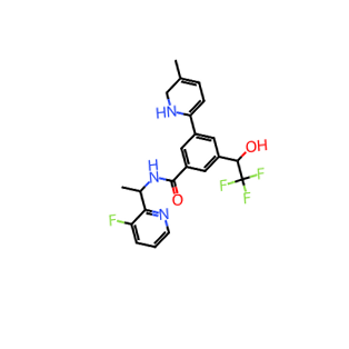 CC1=CC=C(c2cc(C(=O)NC(C)c3ncccc3F)cc(C(O)C(F)(F)F)c2)NC1